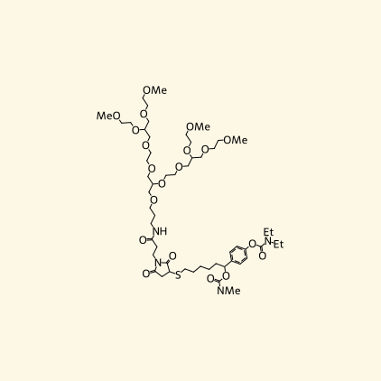 CCN(CC)C(=O)Oc1ccc(C(CCCCCSC2CC(=O)N(CCC(=O)NCCCOCC(COCCOCC(COCCOC)OCCOC)OCCOCC(COCCOC)OCCOC)C2=O)OC(=O)NC)cc1